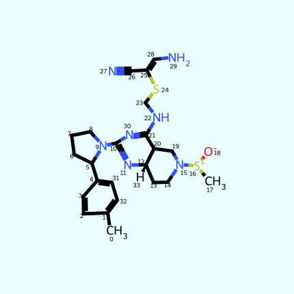 Cc1ccc(C2CCCN2C2=N[C@H]3CCN([S+](C)[O-])CC3C(NCS/C(C#N)=C\N)=N2)cc1